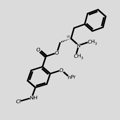 CCCOc1cc(NCl)ccc1C(=O)OC[C@H](Cc1ccccc1)N(C)C